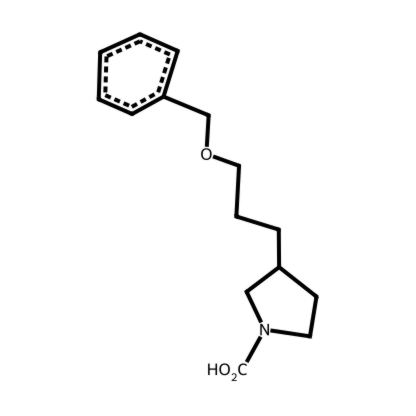 O=C(O)N1CCC(CCCOCc2ccccc2)C1